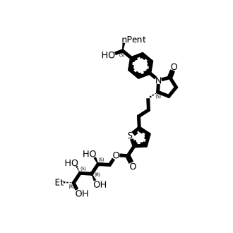 CCCCC[C@H](O)c1ccc(N2C(=O)CC[C@@H]2CCCc2ccc(C(=O)OC[C@H](O)[C@@H](O)[C@@H](O)[C@H](O)CC)s2)cc1